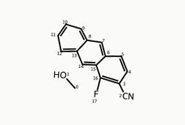 CO.N#Cc1ccc2cc3ccccc3cc2c1F